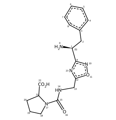 N[C@@H](Cc1ccccc1)c1noc(CNC(=O)N2CCCC2C(=O)O)n1